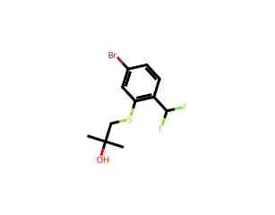 CC(C)(O)CSc1cc(Br)ccc1C(F)F